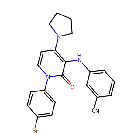 N#Cc1cccc(Nc2c(N3CCCC3)ccn(-c3ccc(Br)cc3)c2=O)c1